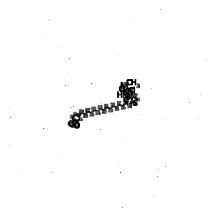 Cc1noc(NS(=O)(=O)c2ccsc2CCCCCCCCCCCCCCCCc2ccc3c(c2)OCO3)c1Cl